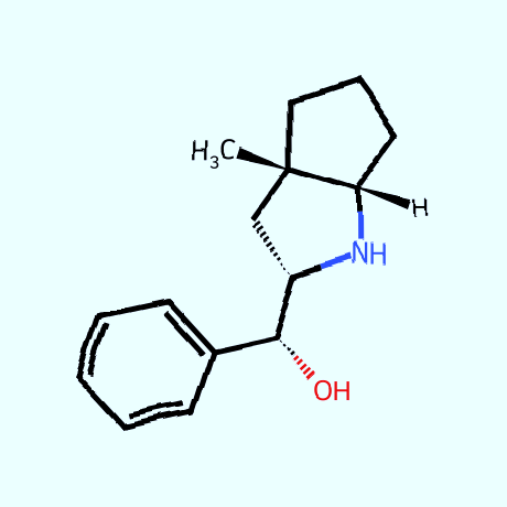 C[C@@]12CCC[C@@H]1N[C@H]([C@H](O)c1ccccc1)C2